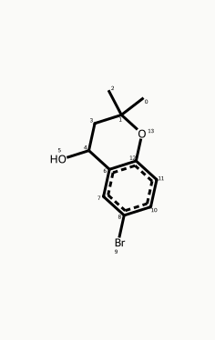 CC1(C)CC(O)c2cc(Br)ccc2O1